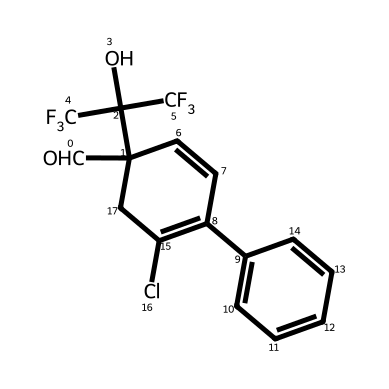 O=CC1(C(O)(C(F)(F)F)C(F)(F)F)C=CC(c2ccccc2)=C(Cl)C1